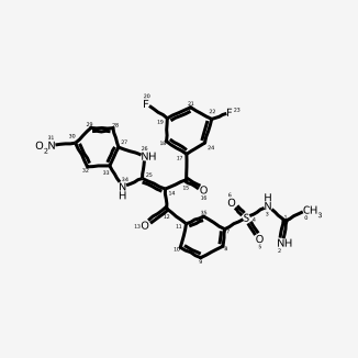 CC(=N)NS(=O)(=O)c1cccc(C(=O)/C(C(=O)c2cc(F)cc(F)c2)=C2/Nc3ccc([N+](=O)[O-])cc3N2)c1